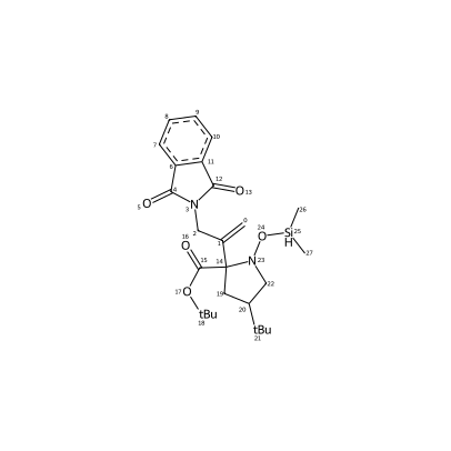 C=C(CN1C(=O)c2ccccc2C1=O)C1(C(=O)OC(C)(C)C)CC(C(C)(C)C)CN1O[SiH](C)C